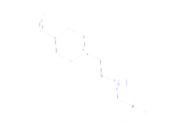 O=CC1CCN(CC(=O)NCC(F)(F)F)CC1